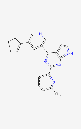 Cc1cccc(-c2nc(-c3cncc(C4=CCCC4)c3)c3cc[nH]c3n2)n1